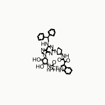 CCCN(C(=O)C(F)(F)F)[C@H]1C[C@@H](n2cnc3c(NCC(c4ccccc4)c4ccccc4)nc(N4CC[C@@H](NC(=O)C(=O)c5c[nH]c6ccccc56)C4)nc32)[C@H](O)[C@@H]1O